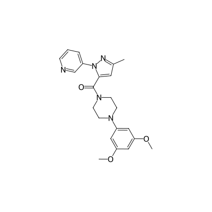 COc1cc(OC)cc(N2CCN(C(=O)c3cc(C)nn3-c3cccnc3)CC2)c1